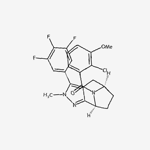 COc1cccc(C(=O)N2[C@@H]3CC[C@H]2c2nn(C)c(-c4cc(F)c(F)c(F)c4)c2C3)c1Cl